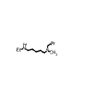 CCNCCCCCN(C)CC(C)C